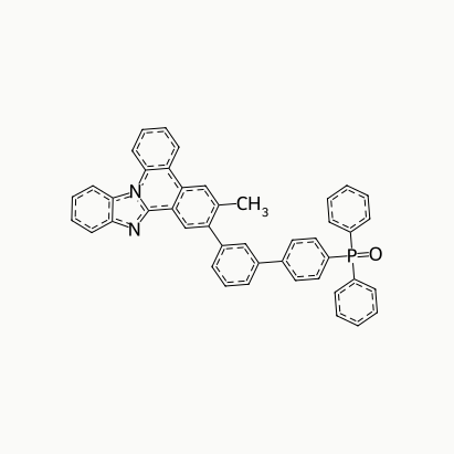 Cc1cc2c3ccccc3n3c4ccccc4nc3c2cc1-c1cccc(-c2ccc(P(=O)(c3ccccc3)c3ccccc3)cc2)c1